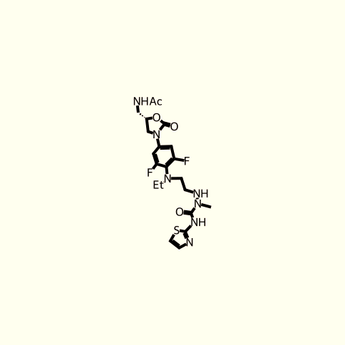 CCN(CCNN(C)C(=O)Nc1nccs1)c1c(F)cc(N2C[C@H](CNC(C)=O)OC2=O)cc1F